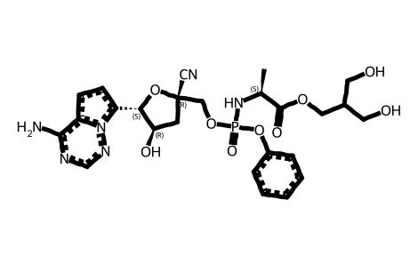 C[C@H](NP(=O)(OC[C@]1(C#N)C[C@@H](O)[C@H](c2ccc3c(N)ncnn23)O1)Oc1ccccc1)C(=O)OCC(CO)CO